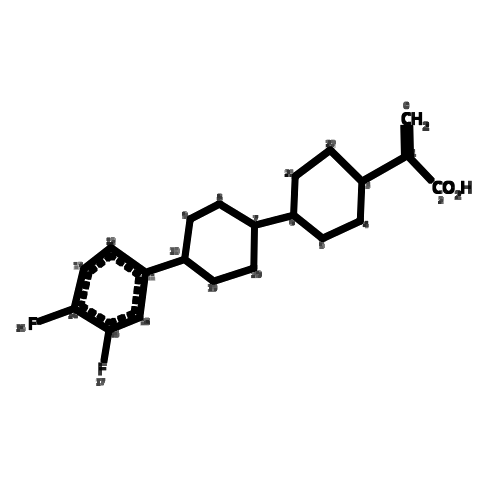 C=C(C(=O)O)C1CCC(C2CCC(c3ccc(F)c(F)c3)CC2)CC1